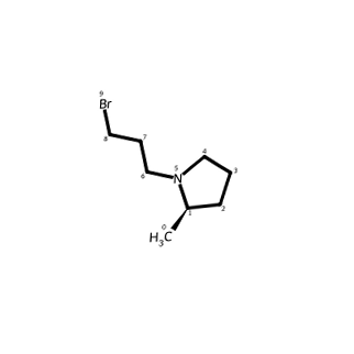 C[C@@H]1CCCN1CCCBr